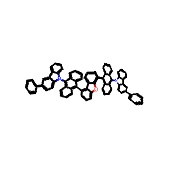 c1ccc(-c2ccc3c(c2)c2ccccc2n3-c2c3ccccc3c(-c3cccc4c3oc3cccc(-c5c6ccccc6c(-n6c7ccccc7c7cc(-c8ccccc8)ccc76)c6ccccc56)c34)c3ccccc23)cc1